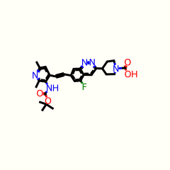 Cc1cc(C#Cc2cc(F)c3cc(C4CCN(C(=O)O)CC4)nnc3c2)c(NC(=O)OC(C)(C)C)c(C)n1